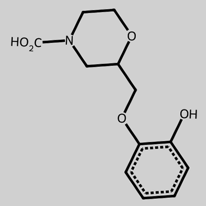 O=C(O)N1CCOC(COc2ccccc2O)C1